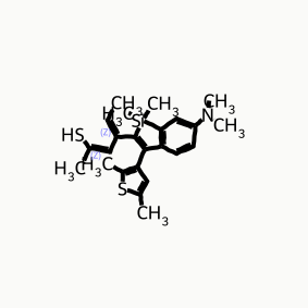 C/C=C(/C=C(/C)S)C1=C(c2cc(C)sc2C)c2ccc(N(C)C)cc2[Si]1(C)C